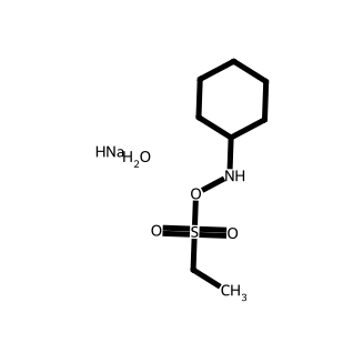 CCS(=O)(=O)ONC1CCCCC1.O.[NaH]